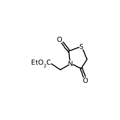 CCOC(=O)CN1C(=O)CSC1=O